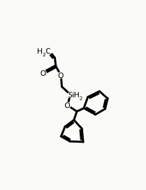 C=CC(=O)OC[SiH2]OC(c1ccccc1)c1ccccc1